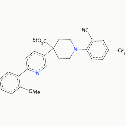 CCOC(=O)C1(c2ccc(-c3ccccc3OC)nc2)CCN(c2ccc(C(F)(F)F)cc2C#N)CC1